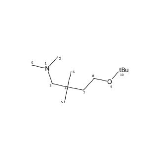 CN(C)CC(C)(C)CCOC(C)(C)C